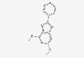 COc1cc(OC)c2nc(-c3ccccc3)oc2c1